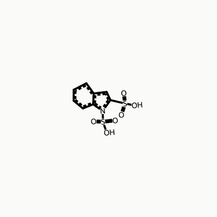 O=S(=O)(O)c1cc2ccccc2n1S(=O)(=O)O